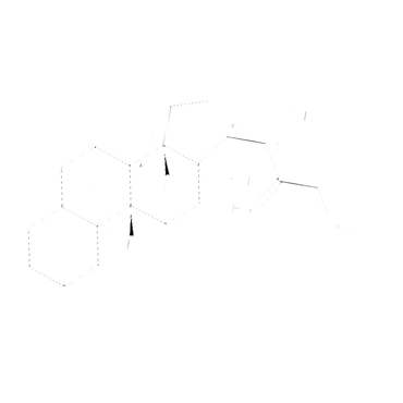 C=C(CC(=O)O)[C@@H](C)[C@H]1CC[C@H]2[C@@H]3CCC4CCCC[C@]4(C)[C@H]3CC[C@]12C